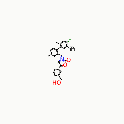 Cc1ccc(-c2cc(C(C)C)c(F)cc2C)c(CN2C(=O)O[C@H](c3cccc(CO)c3)[C@@H]2C)c1